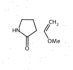 C=COC.O=C1CCCN1